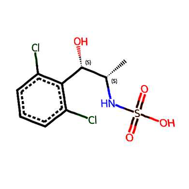 C[C@H](NS(=O)(=O)O)[C@@H](O)c1c(Cl)cccc1Cl